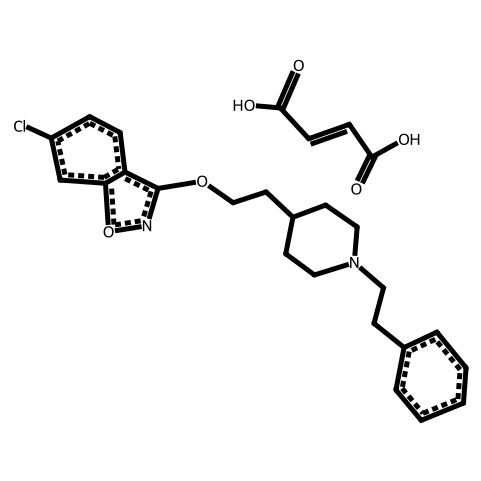 Clc1ccc2c(OCCC3CCN(CCc4ccccc4)CC3)noc2c1.O=C(O)C=CC(=O)O